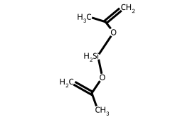 C=C(C)O[SiH2]OC(=C)C